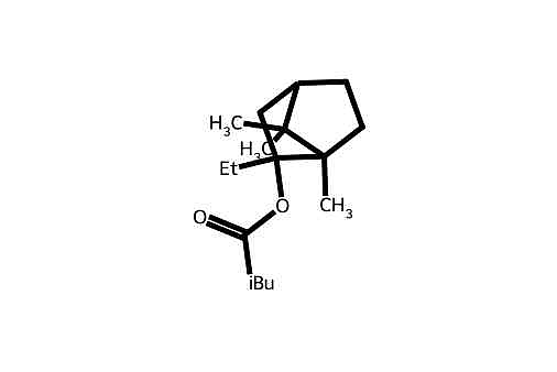 CCC(C)C(=O)OC1(CC)CC2CCC1(C)C2(C)C